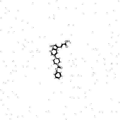 NC(=O)C=Cc1c[nH]c2ncc(N3CCN(C(=O)Oc4ccccc4)CC3)cc12